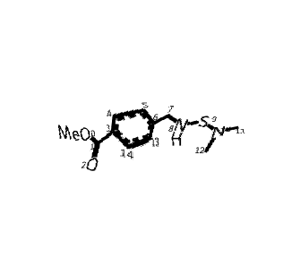 COC(=O)c1ccc(CNSN(C)C)cc1